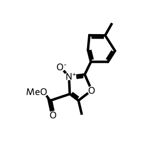 COC(=O)c1c(C)oc(-c2ccc(C)cc2)[n+]1[O-]